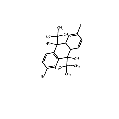 CC(C)(C)C1(O)c2ccc(Br)cc2C(O)(C(C)(C)C)C2C=CC(Br)=CC21